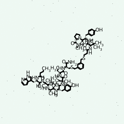 CCCC(=O)N[C@@H](Cc1c[nH]c2ncccc12)C(=O)NC(C)(C)C(=O)N[C@@H](C)C(=O)N[C@@H](Cc1ccc(O)cc1)C(=O)N[C@](C)(C(=O)N[C@@H](CC)C(=O)N[C@H](CSCc1cccc(CSCCC(=O)N[C@H](C(=O)N[C@@H](Cc2ccc(O)cc2)C(=O)N2CCC[C@H]2C(=O)NC)C(C)(C)C)c1)C(N)=O)C(C)C